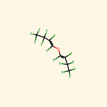 FC(OC(F)=C(F)C(F)(F)C(F)(F)F)=C(F)C(F)(F)C(F)(F)F